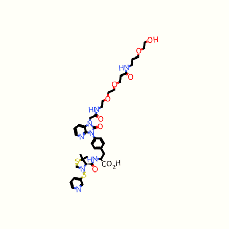 CC1(C)SCN(Sc2cccnc2)[C@@H]1C(=O)N[C@@H](Cc1ccc(-n2c(=O)n(CC(=O)NCCOCCOCCC(=O)NCCCOCCO)c3cccnc32)cc1)C(=O)O